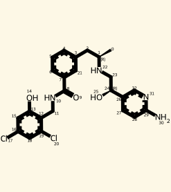 C[C@H](Cc1cccc(C(=O)NCc2c(O)cc(Cl)cc2Cl)c1)NC[C@H](O)c1ccc(N)nc1